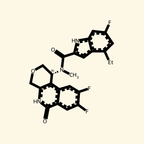 CCc1cc(F)cc2[nH]c(C(=O)N(C)[C@H]3COCc4[nH]c(=O)c5cc(F)c(F)cc5c43)cc12